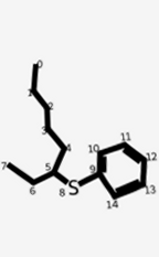 CCCCCC(CC)Sc1ccccc1